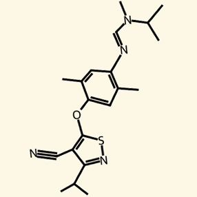 Cc1cc(Oc2snc(C(C)C)c2C#N)c(C)cc1N=CN(C)C(C)C